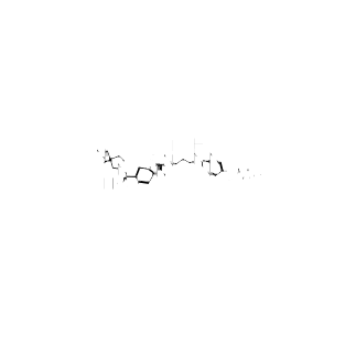 CSc1cnc(NCCCNc2nc3cc(F)c(C(O)N4CCC5(CNC5)C4)cc3s2)nc1